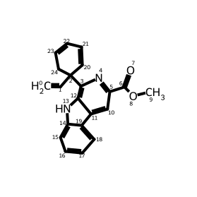 C=CC1(c2nc(C(=O)OC)cc3c2[nH]c2ccccc23)C=CC=CC1